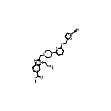 COCCn1c(CN2CCC(c3cccc(OCc4ccc(C#N)s4)n3)CC2)nc2ccc(C(=O)OC)cc21